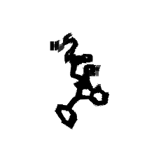 CCOC(=O)CC1(O)CC(c2ccccc2)c2ccccc21